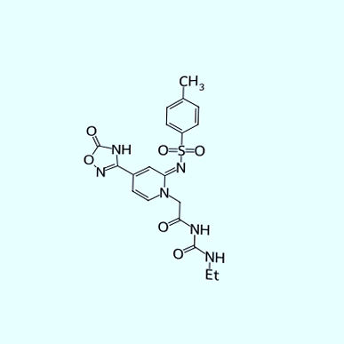 CCNC(=O)NC(=O)Cn1ccc(-c2noc(=O)[nH]2)c/c1=N\S(=O)(=O)c1ccc(C)cc1